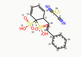 N#CC#N.O=S(=O)(O)C1(S(=O)(=O)O)C=CC=CC1C=Cc1ccccc1.S